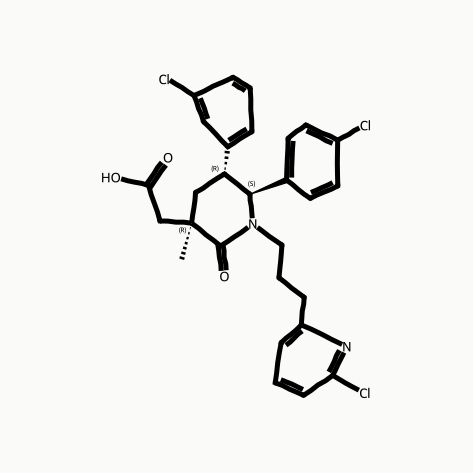 C[C@]1(CC(=O)O)C[C@H](c2cccc(Cl)c2)[C@@H](c2ccc(Cl)cc2)N(CCCc2cccc(Cl)n2)C1=O